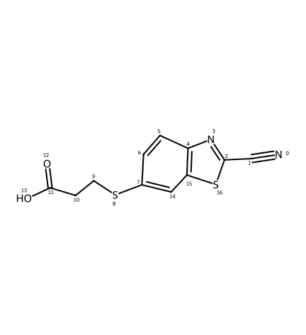 N#Cc1nc2ccc(SCCC(=O)O)cc2s1